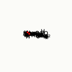 C[C@H]1[C@@H](N2CCN(c3ccc(C(=O)NS(=O)(=O)c4ccc(NCC5CCCCC5)c([N+](=O)[O-])c4)cc3)CC2)C[C@@H]2C[C@@H]1C2(C)C